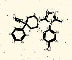 Cc1nnc(N2CCC(C#N)(c3ccccc3)CC2)n1-c1ccc(Cl)cc1